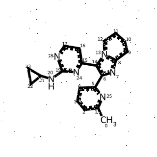 Cc1cccc(-c2nc3ccccn3c2-c2ccnc(NC3CC3)n2)n1